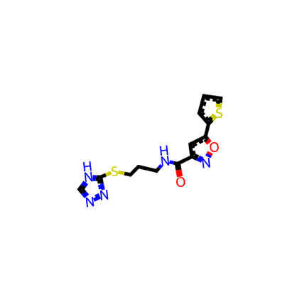 O=C(NCCCSc1nnc[nH]1)c1cc(-c2cccs2)on1